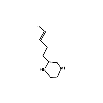 [CH2]C=CCCC1CNCCN1